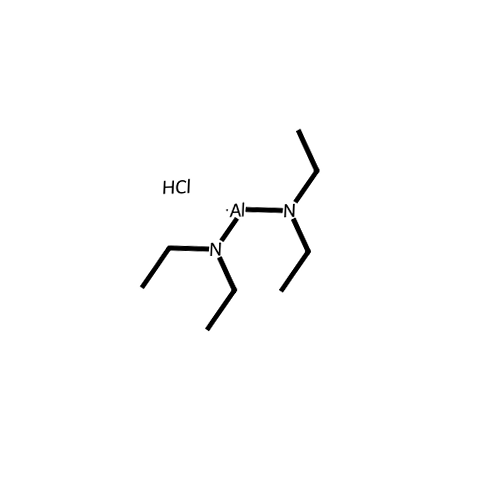 CC[N](CC)[Al][N](CC)CC.Cl